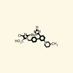 CCCCc1nc(Cl)c(C(=O)O)n1Cc1ccc(-c2cc(N3CCC[C@@H](C)C3)ccc2-c2nn[nH]n2)cc1